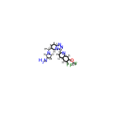 C[C@@H](c1ccc2nnc(-c3ccc4cc(F)c(OC(F)F)cc4n3)n2c1)N1CC[C@H](N)C1